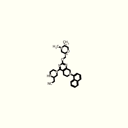 C[C@@H]1CO[C@@H](COc2nc3c(c(N4CCNC(CC#N)C4)n2)CCN(c2cccc4ccccc24)C3)CN1C